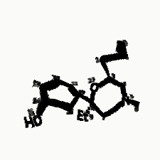 C=CC[C@H]1CN(C)C[C@@](CC)(c2cccc(O)c2)O1